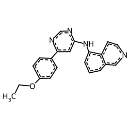 CCOc1ccc(-c2cc(Nc3cccc4cnccc34)ncn2)cc1